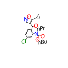 CCCCOC(=O)N(CCC)c1cc(Cl)ccc1C(=O)c1cnoc1C1CC1